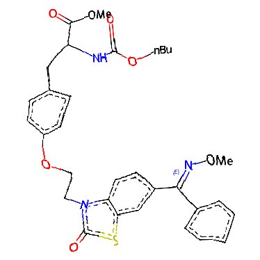 CCCCOC(=O)NC(Cc1ccc(OCCn2c(=O)sc3cc(/C(=N/OC)c4ccccc4)ccc32)cc1)C(=O)OC